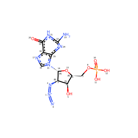 [N-]=[N+]=N[C@@H]1[C@H](O)[C@@H](COP(=O)(O)O)O[C@H]1n1cnc2c(=O)[nH]c(N)nc21